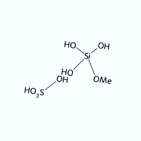 CO[Si](O)(O)O.O=S(=O)(O)O